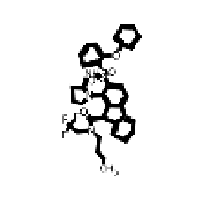 CCCCN(CC(F)(F)F)C(=O)C1c2ccccc2-c2ccc(S(=O)(=O)c3ccccc3Oc3ccccc3)c(N3CCCC3N)c21